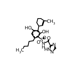 CCCCCc1cc(O)c(C2C=C(C)CCC2)c(O)c1S(=O)(=O)NC(=O)c1ncn[nH]1